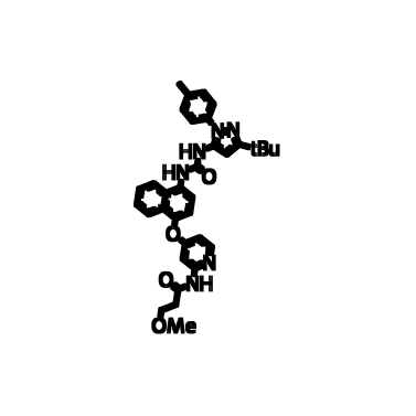 COCCC(=O)Nc1cc(Oc2ccc(NC(=O)Nc3cc(C(C)(C)C)nn3-c3ccc(C)cc3)c3ccccc23)ccn1